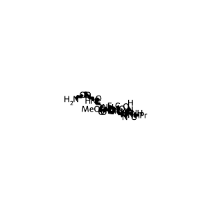 COC(=O)[C@@H](CCC(=O)NCCOC(C)(C)OCCN)NC(=O)c1ccc(N(Cc2cnc3nc(NC(=O)C(C)C)[nH]c(=O)c3n2)C(=O)C(F)(F)F)cc1